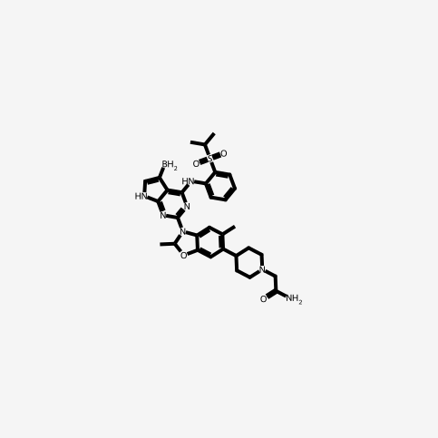 Bc1c[nH]c2nc(N3c4cc(C)c(C5CCN(CC(N)=O)CC5)cc4OC3C)nc(Nc3ccccc3S(=O)(=O)C(C)C)c12